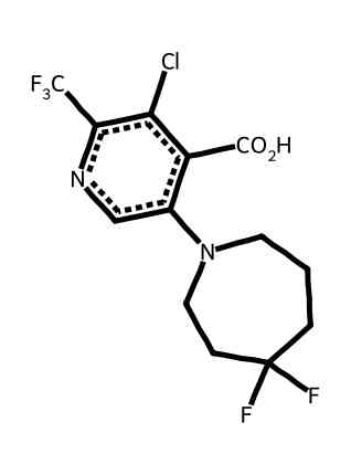 O=C(O)c1c(N2CCCC(F)(F)CC2)cnc(C(F)(F)F)c1Cl